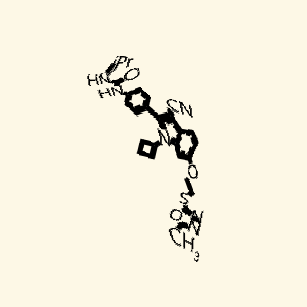 Cc1nnc(SCCOc2ccc3c(C#N)c(-c4ccc(NC(=O)NC(C)C)cc4)n(C4CCC4)c3c2)o1